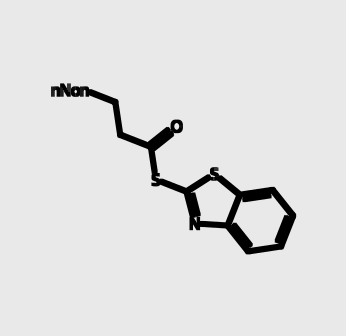 CCCCCCCCCCCC(=O)Sc1nc2ccccc2s1